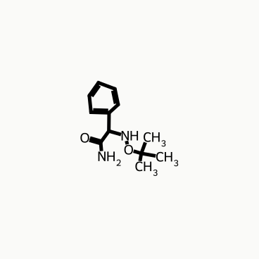 CC(C)(C)ONC(C(N)=O)c1ccccc1